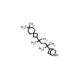 CC1(C)CCC2(CC1)CC(C(C)(C)CCC(C)(C)C1CC3CC1CN3)C2